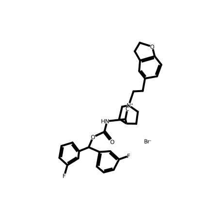 O=C(NC1C[N+]2(CCc3ccc4c(c3)CCO4)CCC1CC2)OC(c1cccc(F)c1)c1cccc(F)c1.[Br-]